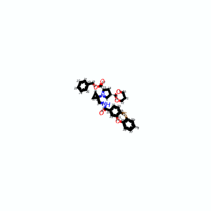 O=C(NCC1(N2C[C@@H](C3OCCCO3)C[C@H]2C(=O)OCc2ccccc2)CC1)c1ccc2c(c1)Oc1ccccc1S2